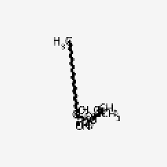 CCCCCCCCCC=CC=CC=CC=CC=CC(=O)O[C@@H](CO)COP(=O)([O-])OCC[N+](C)(C)C